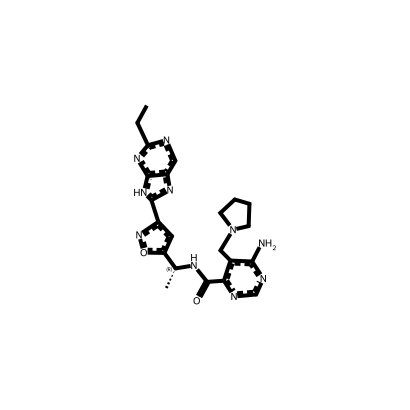 CCc1ncc2nc(-c3cc([C@@H](C)NC(=O)c4ncnc(N)c4CN4CCCC4)on3)[nH]c2n1